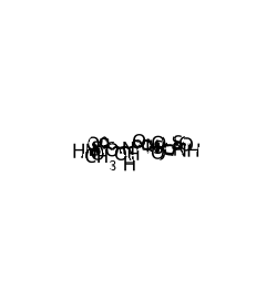 CNS(=O)(=O)c1cccc(OCC(O)CNC2COC3(CCN(S(=O)(=O)c4ccc5[nH]c(=O)sc5c4)CC3)C2)c1